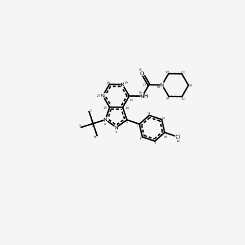 CC(C)(C)n1nc(-c2ccc(Cl)cc2)c2c(NC(=O)N3CCCCC3)ncnc21